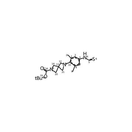 Cc1cc(NC=S)cc(C)c1N1CC2(CN(C(=O)OC(C)(C)C)C2)C1